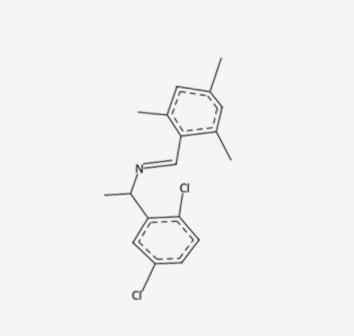 Cc1cc(C)c(C=NC(C)c2cc(Cl)ccc2Cl)c(C)c1